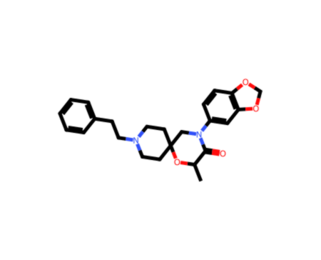 CC1OC2(CCN(CCc3ccccc3)CC2)CN(c2ccc3c(c2)OCO3)C1=O